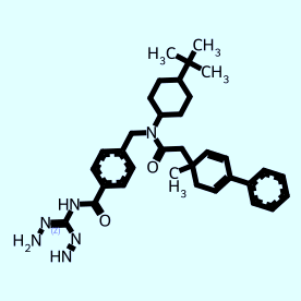 CC1(CC(=O)N(Cc2ccc(C(=O)N/C(N=N)=N/N)cc2)C2CCC(C(C)(C)C)CC2)C=CC(c2ccccc2)=CC1